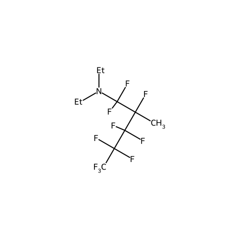 CCN(CC)C(F)(F)C(C)(F)C(F)(F)C(F)(F)C(F)(F)F